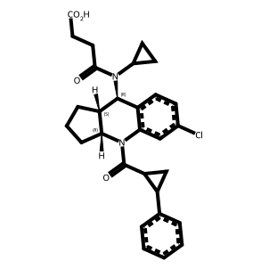 O=C(O)CCC(=O)N(C1CC1)[C@H]1c2ccc(Cl)cc2N(C(=O)C2CC2c2ccccc2)[C@@H]2CCC[C@@H]21